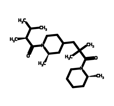 CC(C)[C@H](C)C(=O)N1CCC(CC(C)(C)C(=O)N2CCCC[C@H]2C)C[C@@H]1C